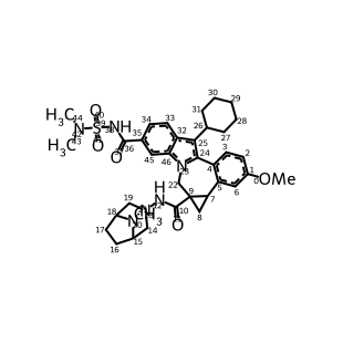 COc1ccc2c(c1)C1CC1(C(=O)NN1CC3CCC(C1)N3C)Cn1c-2c(C2CCCCC2)c2ccc(C(=O)NS(=O)(=O)N(C)C)cc21